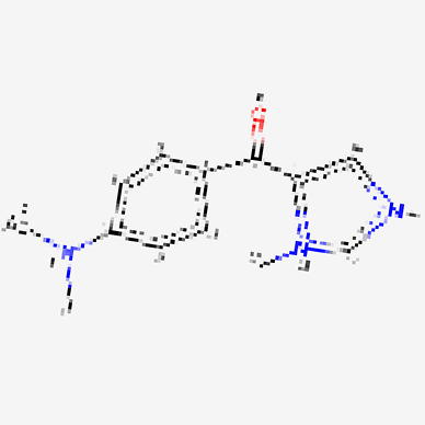 CC(=O)N(C)c1ccc(C(=O)c2cncn2C)cc1